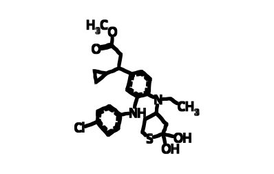 CCN(c1ccc(C(CC(=O)OC)C2CC2)cc1Nc1ccc(Cl)cc1)C1CCSC(O)(O)C1